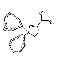 CCC(C(=O)O)C1=NC(c2ccccc2)(c2ccccc2)CO1